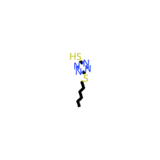 CCCCCCSc1nnc(S)nn1